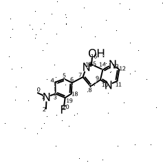 CN(C)c1ccc(-c2cc3nccnc3c(O)n2)cc1F